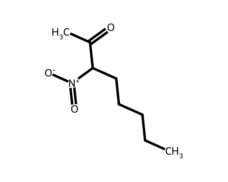 CCCCCC(C(C)=O)[N+](=O)[O-]